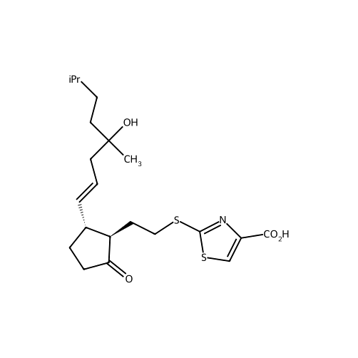 CC(C)CCC(C)(O)C/C=C/[C@H]1CCC(=O)[C@@H]1CCSc1nc(C(=O)O)cs1